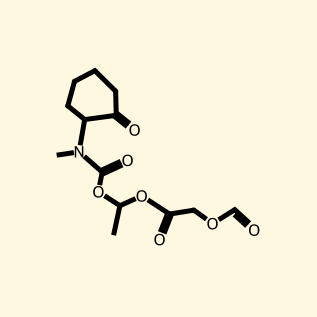 CC(OC(=O)COC=O)OC(=O)N(C)C1CCCCC1=O